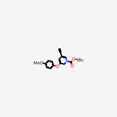 [C]#CC1=CN(C(=O)OC(C)(C)C)CC(Oc2ccc(OC)cc2)=C1